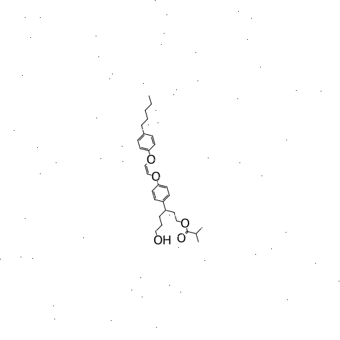 CCCCCc1ccc(O/C=C\Oc2ccc(C(CCCO)CCOC(=O)C(C)C)cc2)cc1